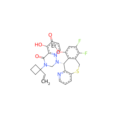 C=CC1(N2CN([C@H]3c4ncccc4SCc4c(F)c(F)cc(OCC)c43)n3ccc(=O)c(O)c3C2=O)CCC1